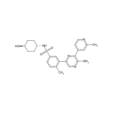 Cc1cc(-c2nc(-c3cc(S(=O)(=O)N[C@H]4CC[C@H](O)CC4)ccc3C)cnc2N)ccn1